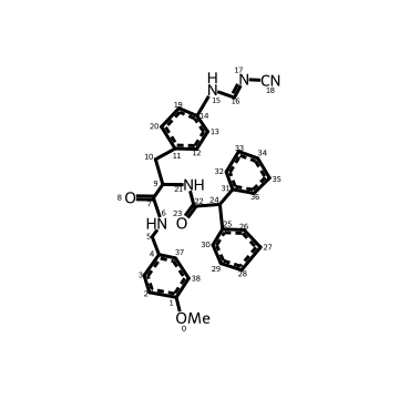 COc1ccc(CNC(=O)C(Cc2ccc(N/C=N/C#N)cc2)NC(=O)C(c2ccccc2)c2ccccc2)cc1